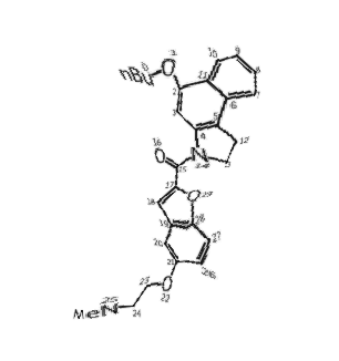 CCCCOc1cc2c(c3ccccc13)CCN2C(=O)c1cc2cc(OCCNC)ccc2o1